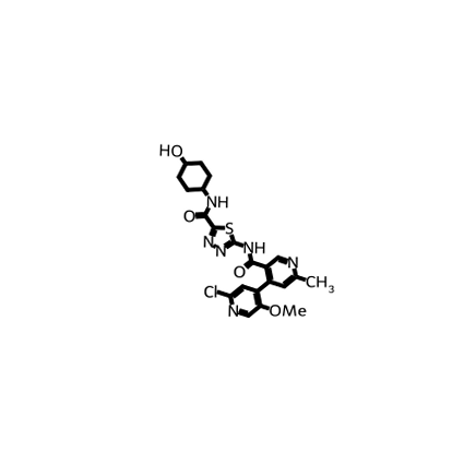 COc1cnc(Cl)cc1-c1cc(C)ncc1C(=O)Nc1nnc(C(=O)NC2CCC(O)CC2)s1